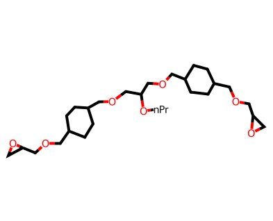 CCCOC(COCC1CCC(COCC2CO2)CC1)COCC1CCC(COCC2CO2)CC1